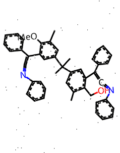 COc1c(C)cc(C(C)(C)c2cc(C)c(CO)c(C(=C=Nc3ccccc3)c3ccccc3)c2)cc1C(=C=Nc1ccccc1)c1ccccc1